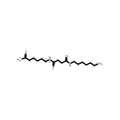 CCCCCCCNC(=O)CCC(=O)NCCCCCC(C)=O